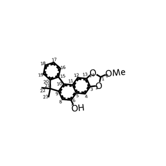 COC1Oc2cc3c(O)cc4c(c3cc2O1)-c1ccccc1C4(C)C